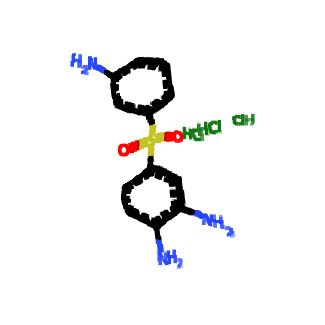 Cl.Cl.Cl.Nc1cccc(S(=O)(=O)c2ccc(N)c(N)c2)c1